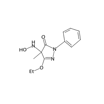 CCOC1=NN(c2ccccc2)C(=O)C1(C)NO